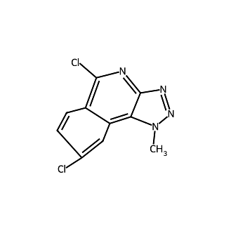 Cn1nnc2nc(Cl)c3ccc(Cl)cc3c21